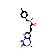 Cc1ccc(CN(C)C(=O)/C=C/c2cnc3c(c2)CN(C)CC(=O)N3)cc1